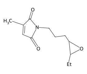 CCC1OC1CCCN1C(=O)C=C(C)C1=O